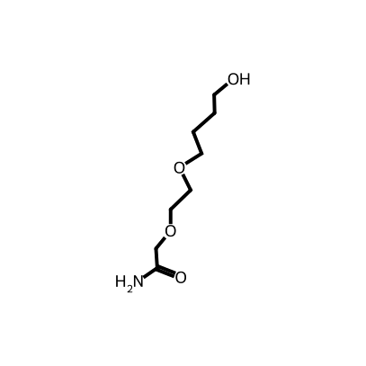 NC(=O)COCCOCCCCO